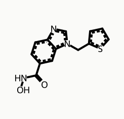 O=C(NO)c1ccc2ncn(Cc3cccs3)c2c1